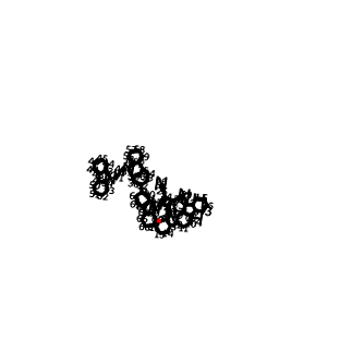 CC1(C)C2C=CC=CC2[C@H]2CCC3C4CCCCC4N(C4=C(C#N)C(C#N)=C4N4c5cc(C6CCC7CC(C6)N(CCN6c8ccccc8C8CCCCC86)c6ccccc67)ccc5C5CCCCC54)C3C21